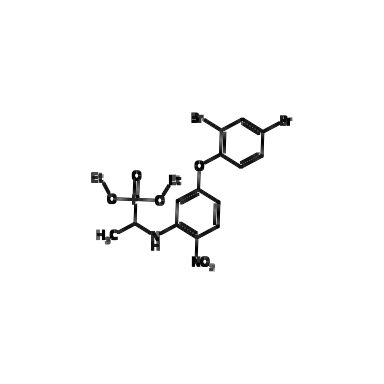 CCOP(=O)(OCC)C(C)Nc1cc(Oc2ccc(Br)cc2Br)ccc1[N+](=O)[O-]